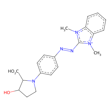 Cn1c(/N=N/c2ccc(N3CCC(O)C3C(=O)O)cc2)[n+](C)c2ccccc21